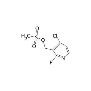 CS(=O)(=O)OCc1c(Cl)ccnc1F